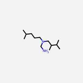 CC(C)CCCN(CN)CC(C)C(C)C